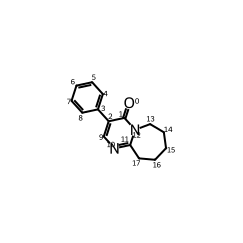 O=c1c(-c2ccccc2)cnc2n1CCCCC2